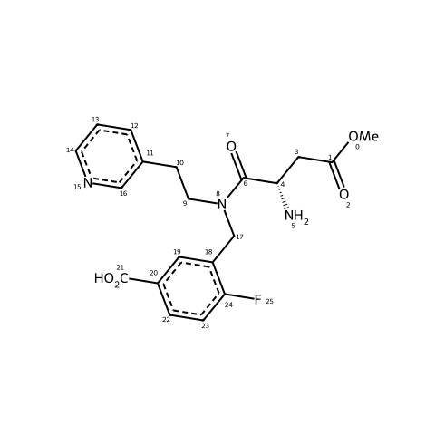 COC(=O)C[C@H](N)C(=O)N(CCc1cccnc1)Cc1cc(C(=O)O)ccc1F